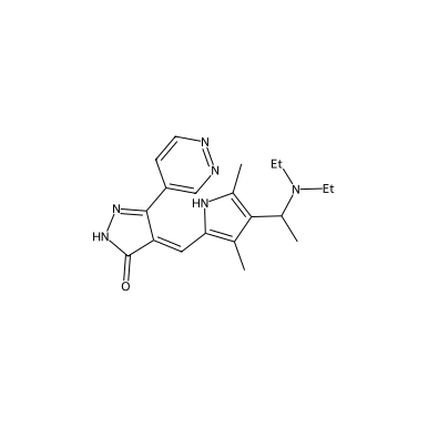 CCN(CC)C(C)c1c(C)[nH]c(/C=C2/C(=O)NN=C2c2ccnnc2)c1C